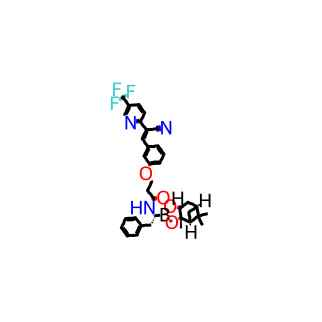 CC1(C)[C@@H]2C[C@H]3OB([C@H](Cc4ccccc4)NC(=O)CCOc4cccc(/C=C(\C#N)c5ccc(C(F)(F)F)cn5)c4)O[C@@]3(C)[C@H]1C2